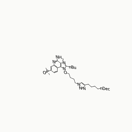 CCCCCCCCCCCCCCc1cn(CCCCOn2c(CCCC)nc3c(N)nc4cc(P(C)(C)=O)ccc4c32)nn1